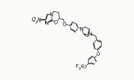 O=[N+]([O-])c1cn2c(n1)OC(COc1ccc(N3CC4CC3CN4Cc3ccc(Oc4ccc(OC(F)(F)F)cc4)cc3)cc1)CC2